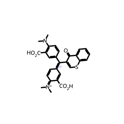 CN(C)c1ccc(/C(=C2\C=CC(=[N+](C)C)C(C(=O)O)=C2)c2csc3ccccc3c2=O)cc1C(=O)O